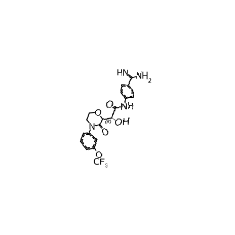 N=C(N)c1ccc(NC(=O)[C@H](O)C2OCCN(c3cccc(OC(F)(F)F)c3)C2=O)cc1